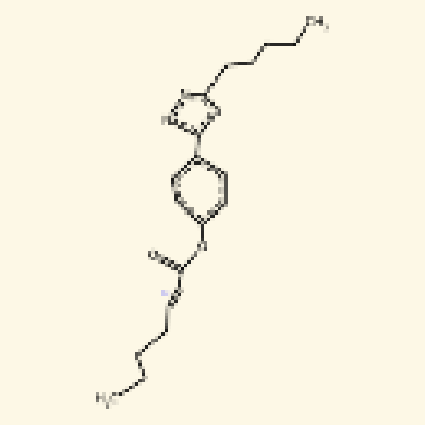 CCCC/C=C/C(=O)Oc1ccc(-c2nnc(CCCCC)s2)cc1